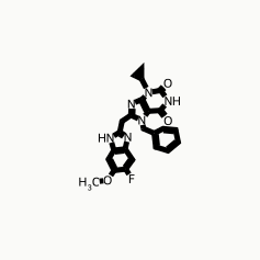 COc1cc2[nH]c(Cc3nc4c(c(=O)[nH]c(=O)n4C4CC4)n3Cc3ccccc3)nc2cc1F